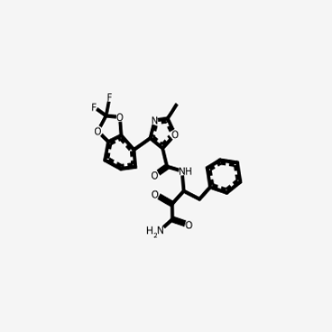 Cc1nc(-c2cccc3c2OC(F)(F)O3)c(C(=O)NC(Cc2ccccc2)C(=O)C(N)=O)o1